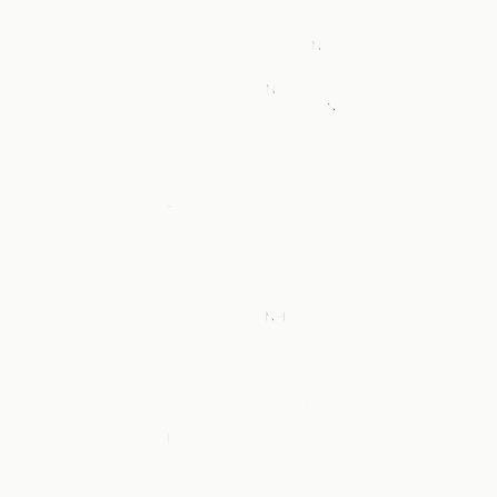 Nc1ncc2cc(-c3c(F)ccc(NS(=O)(=O)c4cc(Cl)ccc4Cl)c3F)ccc2n1